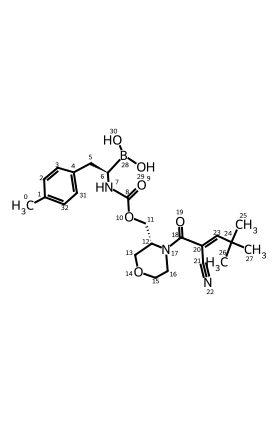 Cc1ccc(C[C@H](NC(=O)OC[C@H]2COCCN2C(=O)/C(C#N)=C/C(C)(C)C)B(O)O)cc1